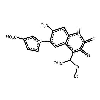 CCOC(C=O)n1c(=O)c(=O)[nH]c2cc([N+](=O)[O-])c(-n3ccc(C(=O)O)c3)cc21